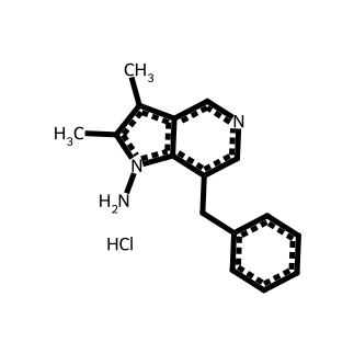 Cc1c(C)n(N)c2c(Cc3ccccc3)cncc12.Cl